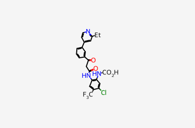 CCc1cc(-c2cccc(C(=O)CC(=O)Nc3cc(C(F)(F)F)c(Cl)cc3NC(=O)O)c2)ccn1